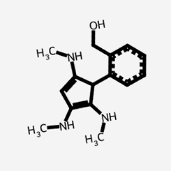 CNC1=CC(NC)=C(NC)C1c1ccccc1CO